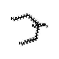 CCCCCCCC/C=C\CCCCCCCCC(N)(CCN)CCCCCCCC/C=C\CCCCCCCC